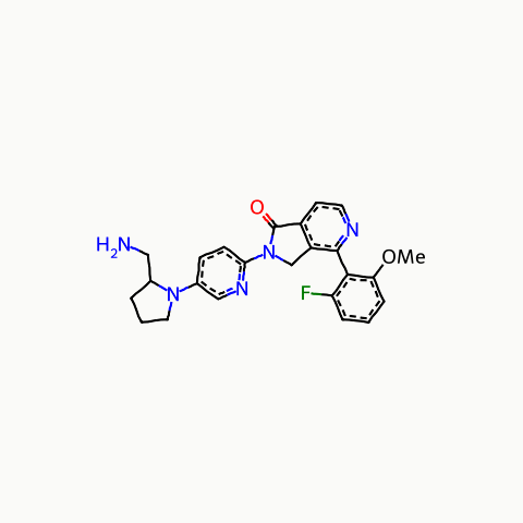 COc1cccc(F)c1-c1nccc2c1CN(c1ccc(N3CCCC3CN)cn1)C2=O